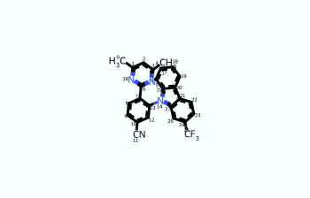 Cc1cc(C)nc(-c2ccc(C#N)cc2-n2c3ccccc3c3ccc(C(F)(F)F)cc32)n1